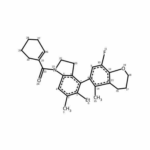 CCc1c(C)cc2c(c1-c1cc(F)c3c(c1C)CCCO3)CCN2C(=O)C1=CCCCC1